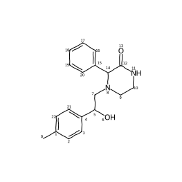 Cc1ccc(C(O)CN2CCNC(=O)C2c2ccccc2)cc1